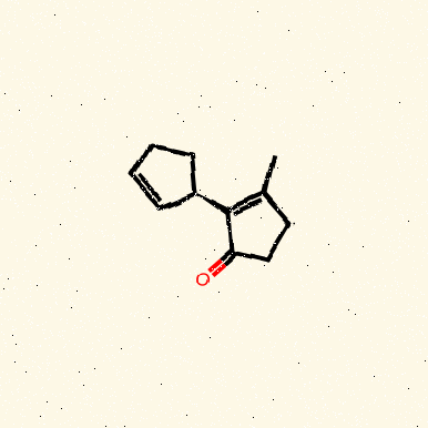 CC1=C([C@H]2C=CCC2)C(=O)C[CH]1